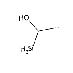 [CH2]C(O)[SiH3]